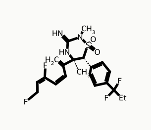 C=C(/C=C\C(F)=C/CF)[C@@]1(C)NC(=N)N(C)S(=O)(=O)[C@@H]1c1ccc(C(F)(F)CC)cc1